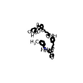 Cc1cccc(/C=N/Nc2cc(N3CCOCC3)nc(OCCc3ccc(NC(=O)CCCOc4cccc5c4C(=O)N(C4CCC(=O)NC4=O)C5=O)cc3)n2)c1